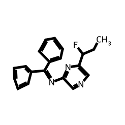 CCC(F)c1cncc(N=C(c2ccccc2)c2ccccc2)n1